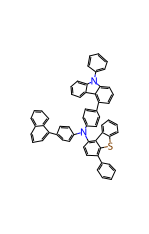 c1ccc(-c2ccc(N(c3ccc(-c4cccc5ccccc45)cc3)c3ccc(-c4cccc5c4c4ccccc4n5-c4ccccc4)cc3)c3c2sc2ccccc23)cc1